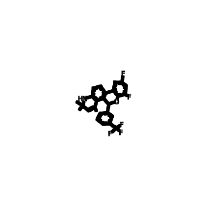 CC1=CC(C)(C)Nc2ccc3c(c21)C(c1cccc(C(F)(F)F)c1)Oc1c(F)cc(F)cc1-3